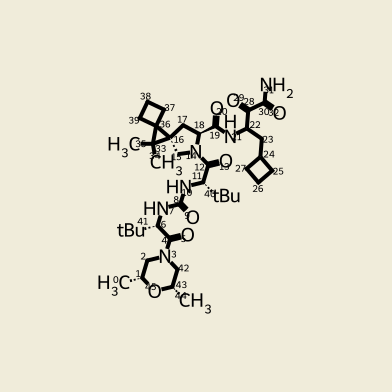 C[C@@H]1CN(C(=O)[C@@H](NC(=O)N[C@H](C(=O)N2C[C@]3(C[C@H]2C(=O)NC(CC2CCC2)C(=O)C(N)=O)C(C)(C)C32CCC2)C(C)(C)C)C(C)(C)C)C[C@H](C)O1